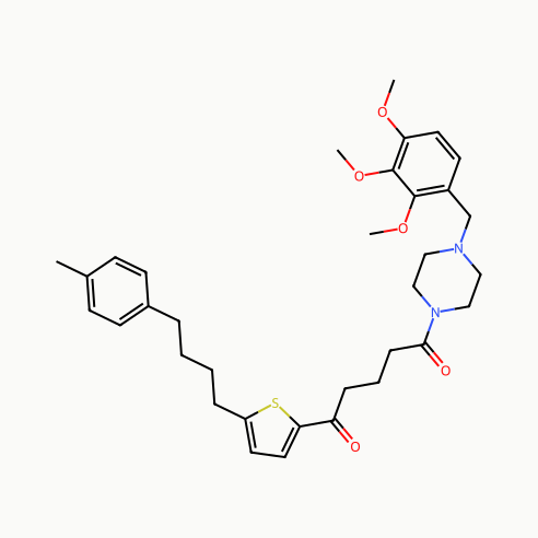 COc1ccc(CN2CCN(C(=O)CCCC(=O)c3ccc(CCCCc4ccc(C)cc4)s3)CC2)c(OC)c1OC